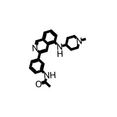 CC(=O)Nc1cccc(-c2cc3c(NC4CCN(C)CC4)cccc3cn2)c1